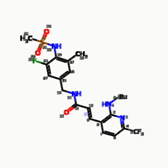 CCC(C)Nc1nc(C(F)(F)F)ccc1/C=C/C(=O)NCc1cc(C)c(NS(C)(=O)=O)c(F)c1